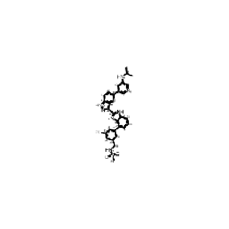 CC(C)Nc1cncc(-c2ccc3[nH]nc(-c4nc5c(-c6cc(F)cc(CNS(C)(=O)=O)c6)cccc5[nH]4)c3n2)c1